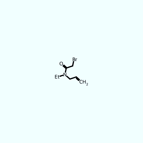 C=CCN(CC)C(=O)CBr